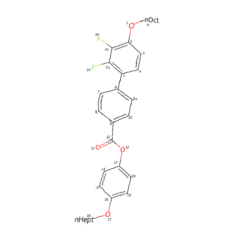 CCCCCCCCOc1ccc(-c2ccc(C(=O)Oc3ccc(OCCCCCCC)cc3)cc2)c(F)c1F